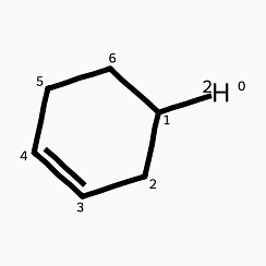 [2H]C1CC=CCC1